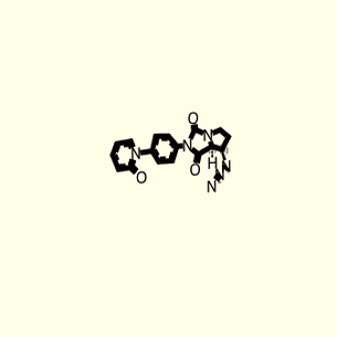 [N-]=[N+]=N[C@@H]1CCN2C(=O)N(c3ccc(-n4ccccc4=O)cc3)C(=O)[C@H]12